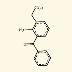 Cc1c(CC(=O)O)cccc1C(=O)c1ccccc1